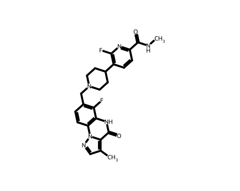 CNC(=O)c1ccc(C2CCN(Cc3ccc4c([nH]c(=O)c5c(C)cnn54)c3F)CC2)c(F)n1